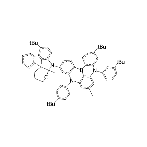 Cc1cc2c3c(c1)N(c1cccc(C(C)(C)C)c1)c1cc(C(C)(C)C)ccc1B3c1ccc(N3c4ccc(C(C)(C)C)cc4C4(c5ccccc5)CCCCC34C)cc1N2c1ccc(C(C)(C)C)cc1